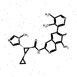 Cc1c(N)cncc1-c1cc2cc(NC(=O)[C@@H]3[C@@H](c4cncn4C)[C@@H]3C3CC3)ncc2c(N)c1F